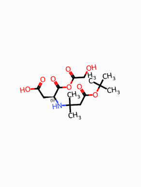 CC(C)(CC(=O)OC(C)(C)C)N[C@@H](CC(=O)O)C(=O)OC(=O)CO